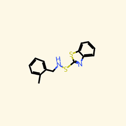 Cc1ccccc1CNSc1nc2ccccc2s1